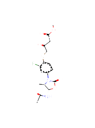 COC(=O)CC(=O)CSc1ccc(N2C(=O)O[C@H](NC(C)=O)C2C)cc1F